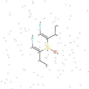 CCC(=CF)[S+]([O-])C(=CF)CC